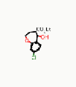 CCOC(=O)C1CCOc2cc(Cl)ccc2C1O